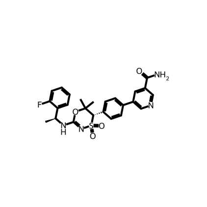 C[C@H](NC1=NS(=O)(=O)[C@@H](c2ccc(-c3cncc(C(N)=O)c3)cc2)C(C)(C)O1)c1ccccc1F